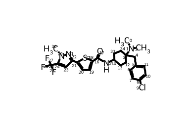 CN(C)C1(Cc2ccc(Cl)cc2)CCC(NC(=O)c2ccc(-c3cc(C(F)(F)F)n(C)n3)s2)CC1